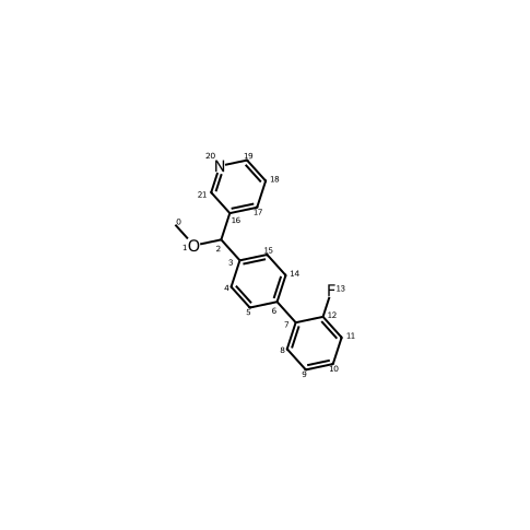 COC(c1ccc(-c2ccccc2F)cc1)c1cccnc1